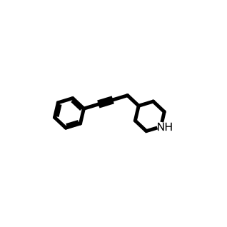 C(#Cc1ccccc1)CC1CCNCC1